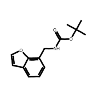 CC(C)(C)OC(=O)NCc1cccc2ccoc12